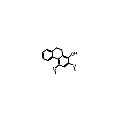 COc1cc(OC)c2c(c1O)CCc1ccccc1-2